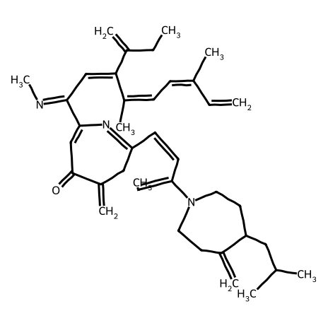 C=C\C(C)=C/C=C(C)\C(=C/C(=N\C)C1=CC(=O)C(=C)CC(/C=C\C(=C/C)N2CCC(=C)C(CC(C)C)CC2)=N1)C(=C)CC